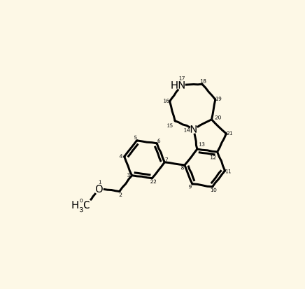 COCc1cccc(-c2cccc3c2N2CCNCCC2C3)c1